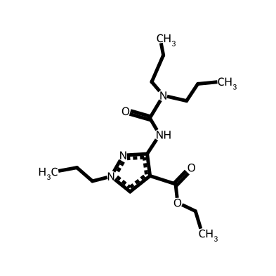 CCCN(CCC)C(=O)Nc1nn(CCC)cc1C(=O)OCC